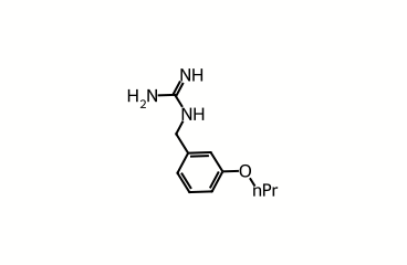 CCCOc1cccc(CNC(=N)N)c1